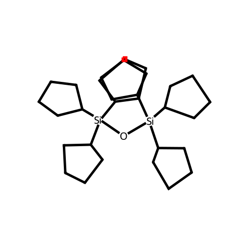 C1CCC([Si](O[Si](C2CCCC2)(C2CCCC2)C2CCCC2)(C2CCCC2)C2CCCC2)C1